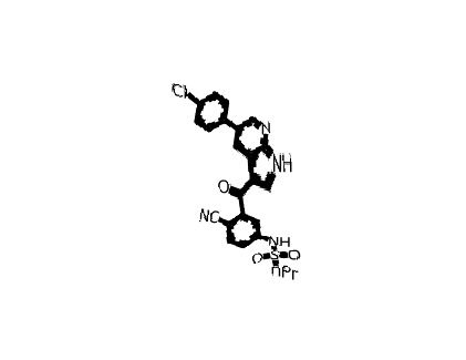 CCCS(=O)(=O)Nc1ccc(C#N)c(C(=O)c2c[nH]c3ncc(-c4ccc(Cl)cc4)cc23)c1